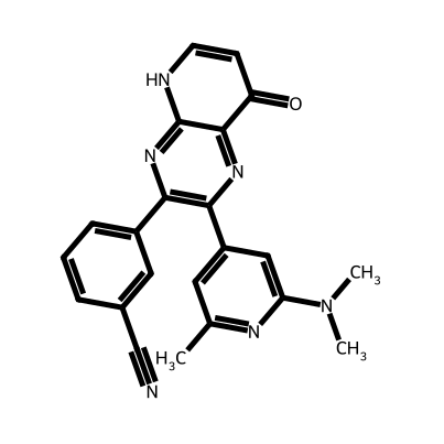 Cc1cc(-c2nc3c(=O)cc[nH]c3nc2-c2cccc(C#N)c2)cc(N(C)C)n1